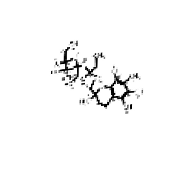 CCC(C)(OCC1(C)CCc2c(C)c(O)c(C)c(C)c2O1)OC1(CO)OC(C)(CO)[C@]1(C)O